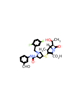 C[C@@H](O)[C@H]1C(=O)N2C(C(=O)O)=C(S[C@H]3C[C@@H](C(=O)Nc4cccc(C=O)c4)N(Cc4cc(F)ccc4F)C3)[C@H](C)[C@H]12